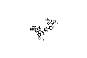 Cn1cc(NC(=O)c2coc(-c3ccnc(N(CC(F)(F)F)C(=O)OC(C)(C)C)c3)n2)c(N2C[C@@H](NC(=O)O)CC2=O)n1